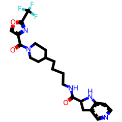 O=C(NCCCCC1CCN(C(=O)c2coc(C(F)(F)F)n2)CC1)C1Cc2cnccc2N1